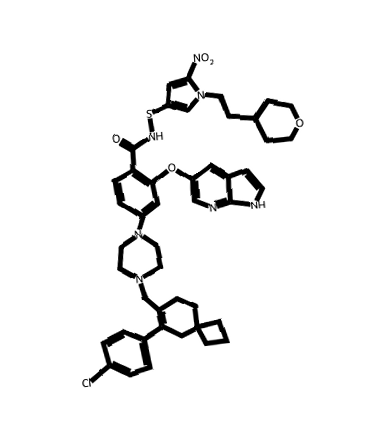 O=C(NSc1cc([N+](=O)[O-])n(CCC2CCOCC2)c1)c1ccc(N2CCN(CC3=C(c4ccc(Cl)cc4)CC4(CCC4)CC3)CC2)cc1Oc1cnc2[nH]ccc2c1